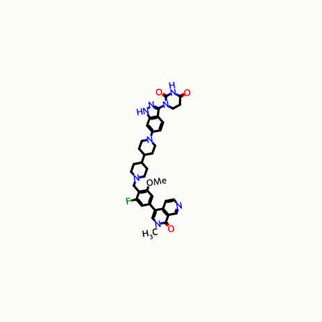 COc1cc(-c2cn(C)c(=O)c3cnccc23)cc(F)c1CN1CCC(C2CCN(c3ccc4c(N5CCC(=O)NC5=O)n[nH]c4c3)CC2)CC1